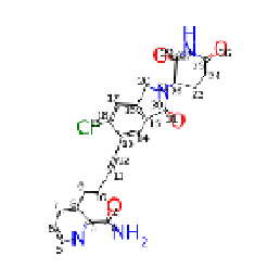 NC(=O)c1ncccc1CCC#Cc1cc2c(cc1Cl)CN(C1CCC(=O)NC1=O)C2=O